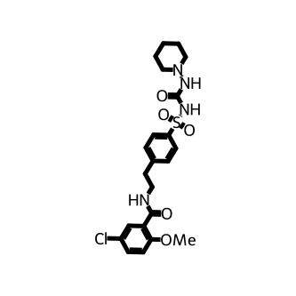 COc1ccc(Cl)cc1C(=O)NCCc1ccc(S(=O)(=O)NC(=O)NN2CCCCC2)cc1